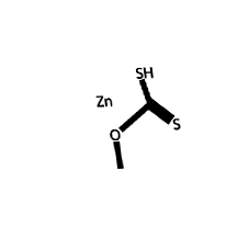 COC(=S)S.[Zn]